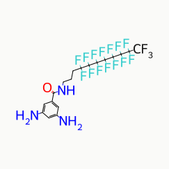 Nc1cc(N)cc(C(=O)NCCCC(F)(F)C(F)(F)C(F)(F)C(F)(F)C(F)(F)C(F)(F)C(F)(F)C(F)(F)F)c1